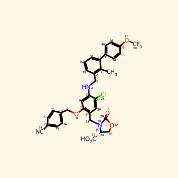 Cc1c(CNc2cc(OCc3ccc(C#N)cc3)c(CN3C(=O)OC[C@@H]3C(=O)O)cc2Cl)cccc1-c1ccc(OC(F)(F)F)cc1